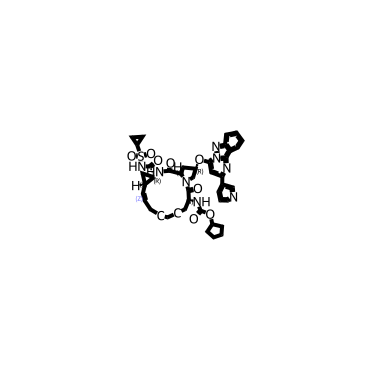 O=C(N[C@H]1CCCCC/C=C\[C@@H]2C[C@@]2(C(=O)NS(=O)(=O)C2CC2)NC(=O)[C@@H]2C[C@@H](Oc3cc(-c4cccnc4)nc4c5ccccc5nn34)CN2C1=O)OC1CCCC1